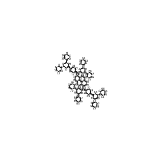 c1ccc(-c2cc(-c3ccccc3)cc(-c3ccc(N(c4cc(-c5ccccc5)cc(-c5ccccc5)c4)c4ccc5ccc6c(N(c7ccc(-c8cc(-c9ccccc9)cc(-c9ccccc9)c8)cc7)c7cc(-c8ccccc8)cc(-c8ccccc8)c7)ccc7ccc4c5c76)cc3)c2)cc1